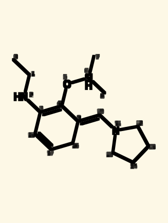 CCNC1=C(O[SiH](C)C)C(=CN2CCCC2)CC=C1